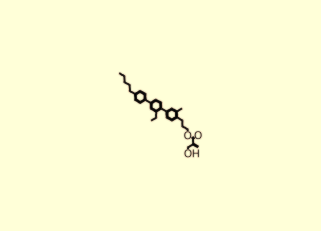 C=C(CO)C(=O)OCCCc1ccc(-c2ccc(-c3ccc(CCCCC)cc3)cc2CC)cc1C